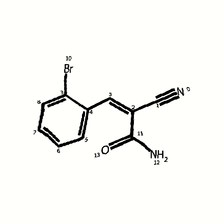 N#CC(=Cc1ccccc1Br)C(N)=O